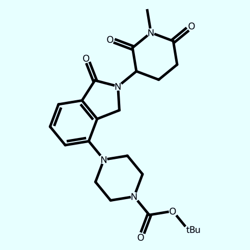 CN1C(=O)CCC(N2Cc3c(cccc3N3CCN(C(=O)OC(C)(C)C)CC3)C2=O)C1=O